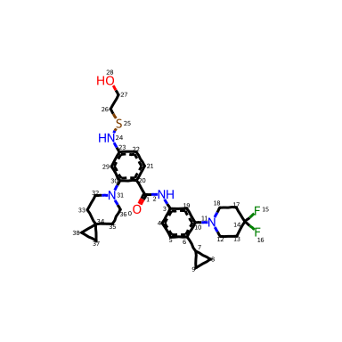 O=C(Nc1ccc(C2CC2)c(N2CCC(F)(F)CC2)c1)c1ccc(NSCCO)cc1N1CCC2(CC1)CC2